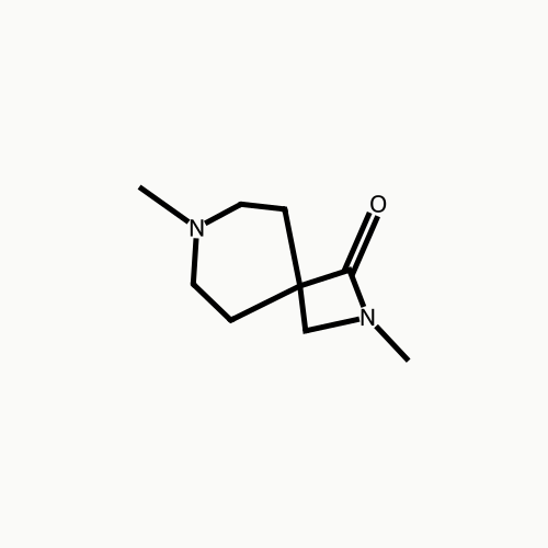 CN1CCC2(CC1)CN(C)C2=O